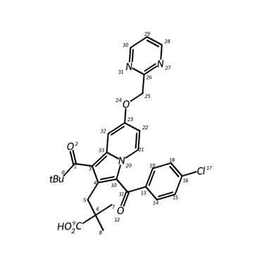 CC(C)(C)C(=O)c1c(CC(C)(C)C(=O)O)c(C(=O)c2ccc(Cl)cc2)n2ccc(OCc3ncccn3)cc12